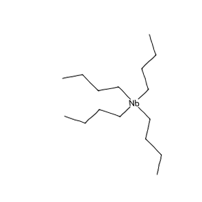 CCC[CH2][Nb]([CH2]CCC)([CH2]CCC)[CH2]CCC